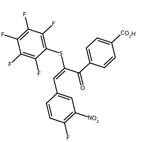 O=C(O)c1ccc(C(=O)/C(=C\c2ccc(F)c([N+](=O)[O-])c2)Sc2c(F)c(F)c(F)c(F)c2F)cc1